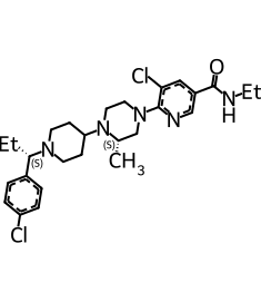 CCNC(=O)c1cnc(N2CCN(C3CCN([C@@H](CC)c4ccc(Cl)cc4)CC3)[C@@H](C)C2)c(Cl)c1